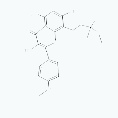 COc1ccc(-c2oc3c(CCC(C)(C)OC)c(O)cc(O)c3c(=O)c2O)cc1